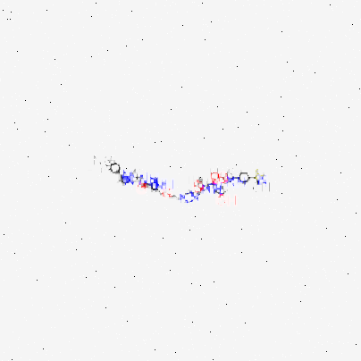 Cc1ncsc1-c1ccc(C(C)NC(=O)[C@@H]2C[C@@H](O)CN2C(=O)C(NC(=O)CN2CCN(CCCOCc3cc(C(=O)NC(C)Cn4ccc(-c5ccc(C#N)c(C(F)(F)F)c5)n4)n[nH]3)CC2)C(C)(C)C)cc1